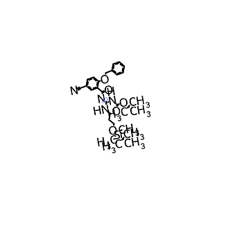 CC(C)(C)OC(=O)N/C(=N\C(=O)c1cc(C#N)ccc1OCc1ccccc1)NCCCO[Si](C)(C)C(C)(C)C